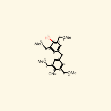 COCc1cc(Cc2cc(COC)c(N=O)c(COC)c2)cc(COC)c1O